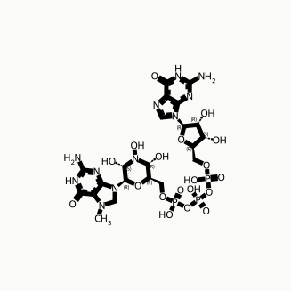 CN1CN([C@@H]2O[C@H](COP(=O)(O)OP(=O)(O)OP(=O)(O)OC[C@H]3O[C@@H](n4cnc5c(=O)[nH]c(N)nc54)[C@H](O)[C@@H]3O)[C@@H](O)N(O)[C@H]2O)c2nc(N)[nH]c(=O)c21